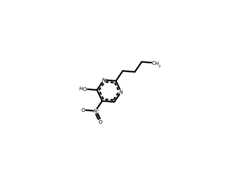 CCCCc1ncc([N+](=O)[O-])c(O)n1